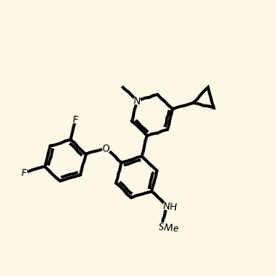 CSNc1ccc(Oc2ccc(F)cc2F)c(C2=CN(C)CC(C3CC3)=C2)c1